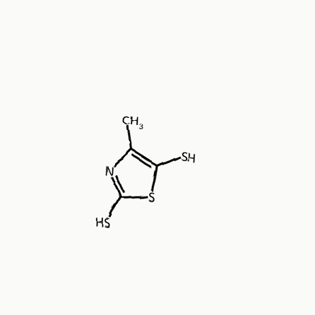 Cc1nc(S)sc1S